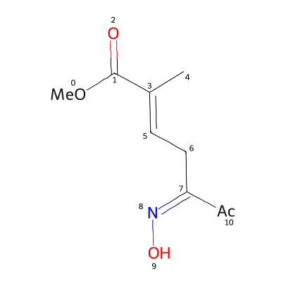 COC(=O)C(C)=CCC(=NO)C(C)=O